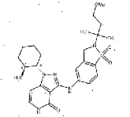 COCCC(C)(C)N1Cc2cc(Nc3nn([C@H]4CCCC[C@@H]4C)c4cc[nH]c(=O)c34)ccc2S1(=O)=O